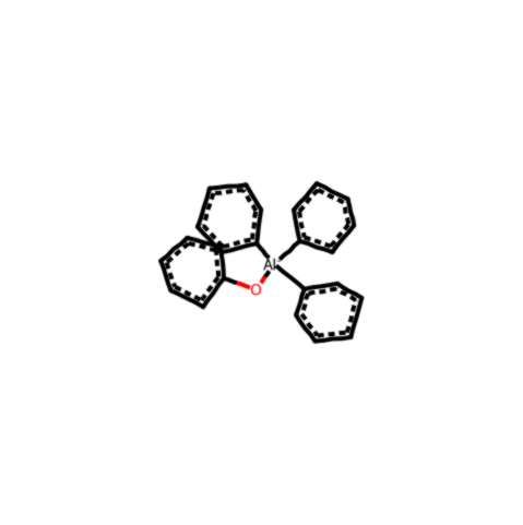 c1ccc([O][Al-]([c]2ccccc2)([c]2ccccc2)[c]2ccccc2)cc1